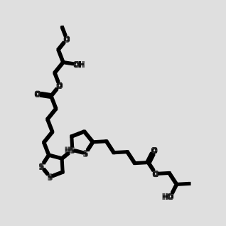 COCC(O)COC(=O)CCCCC1SSCC1[SH]1CCC(CCCCC(=O)OCC(C)O)S1